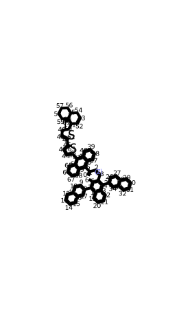 C=C(/C=C\c1c(C)c(-c2ccc3ccccc3c2)c2ccccc2c1-c1ccc2ccccc2c1)c1c2ccccc2c(-c2ccc(C3=CCC(C4C=CCC5CCCCC54I)S3)s2)c2ccccc12